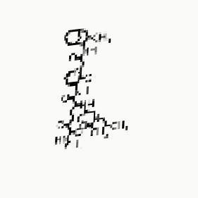 CCCN(CC(=O)NC(CCC(=O)C(=O)NC)C(=O)Nc1cccn(CC(=O)NC2C(C)CC3CCCC2C3)c1=O)C(C)=O